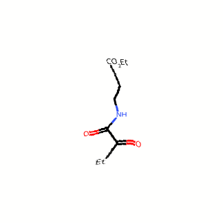 CCOC(=O)CCNC(=O)C(=O)CC